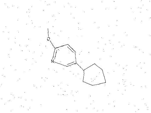 COc1ccc(C2CCCCC2)cn1